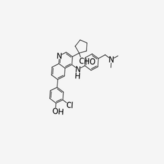 CN(C)Cc1ccc(Nc2c(C3(C=O)CCCC3)cnc3ccc(-c4ccc(O)c(Cl)c4)cc23)cc1